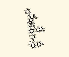 O=C(NS(=O)(=O)c1cc([N+](=O)[O-])c(NC[C@H]2COCCO2)cc1F)c1ccc(N2CCN(C[C@H]3CC[C@]34CCC=C(c3ccc(Cl)cc3)C4)CC2)cc1Oc1cnc2[nH]ccc2c1